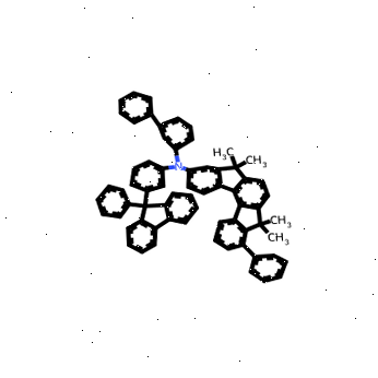 CC1(C)c2cc(N(c3cccc(-c4ccccc4)c3)c3cccc(C4(c5ccccc5)c5ccccc5-c5ccccc54)c3)ccc2-c2c1ccc1c2-c2cccc(-c3ccccc3)c2C1(C)C